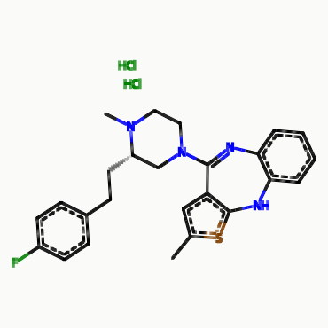 Cc1cc2c(s1)Nc1ccccc1N=C2N1CCN(C)[C@@H](CCc2ccc(F)cc2)C1.Cl.Cl